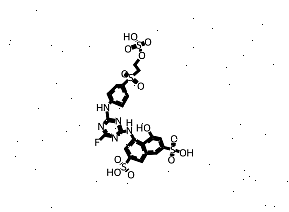 O=S(=O)(O)OCCS(=O)(=O)c1ccc(Nc2nc(F)nc(Nc3cc(S(=O)(=O)O)cc4cc(S(=O)(=O)O)cc(O)c34)n2)cc1